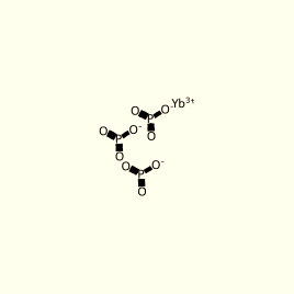 O=P(=O)[O-].O=P(=O)[O-].O=P(=O)[O-].[Yb+3]